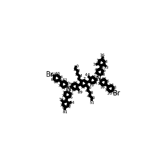 CCCCCCc1cc(-c2ccc(N(c3ccc(-c4ccc(Br)cc4)cc3)c3ccc(-c4c(C)cc(C)cc4C)cc3)cc2C)c(CCCCCC)cc1-c1ccc(N(c2ccc(-c3ccc(Br)cc3)cc2)c2ccc(-c3c(C)cc(C)cc3C)cc2)cc1C